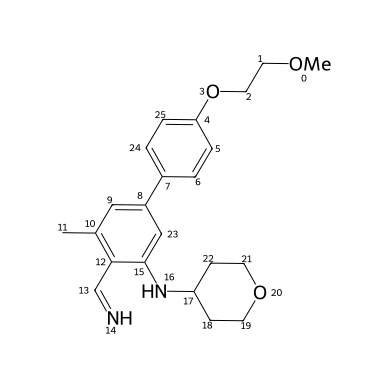 COCCOc1ccc(-c2cc(C)c(C=N)c(NC3CCOCC3)c2)cc1